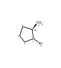 [CH2][C@@H]1CCCN1C(C)=O